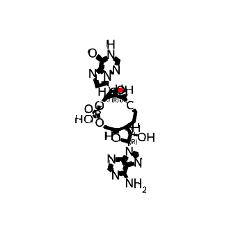 Nc1ncnc2c1ncn2[C@@H]1O[C@@H]2COP(=O)(O)O[C@@H]3[C@H](O)[C@@H](CCC[C@H]2[C@H]1O)O[C@H]3c1cnc2c(=O)[nH]cnn12